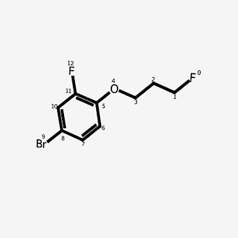 FCCCOc1ccc(Br)cc1F